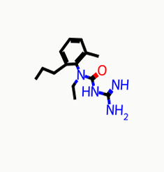 CCCc1cccc(C)c1N(CC)C(=O)NC(=N)N